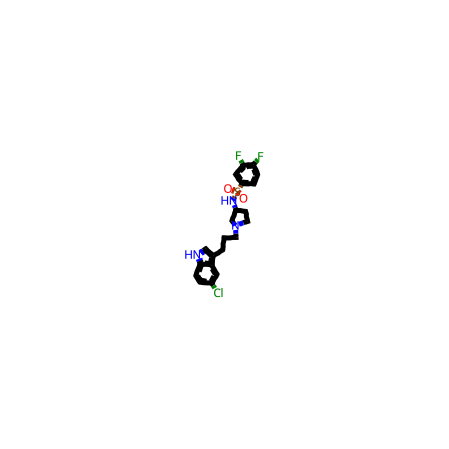 O=S(=O)(NC1CCN(CCCc2c[nH]c3ccc(Cl)cc23)C1)c1ccc(F)c(F)c1